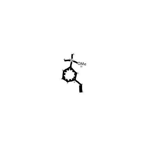 C=Cc1cccc([Si](C)(C)OC)c1